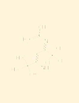 C=C(C)/N=C(\C=C(/N)C(C)(C)C)C(C)(C)C